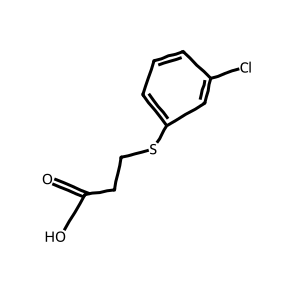 O=C(O)CCSc1cccc(Cl)c1